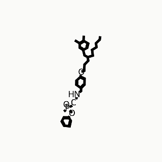 CCCCCCC(CCCOc1ccc(CNCCCP(C)(=O)Oc2ccccc2)cc1)Cc1ccc(C)c(C)c1